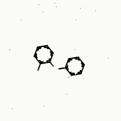 [Li][c]1ccccc1Oc1ccccc1